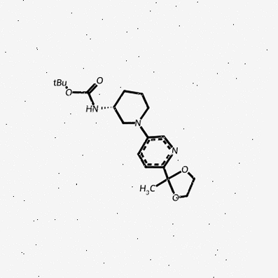 CC(C)(C)OC(=O)N[C@@H]1CCCN(c2ccc(C3(C)OCCO3)nc2)C1